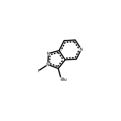 CCC(C)c1c2cnccc2nn1I